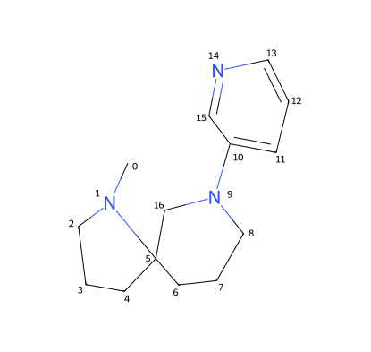 CN1CCCC12CCCN(c1cccnc1)C2